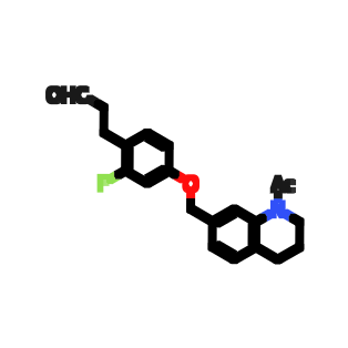 CC(=O)N1CCCc2ccc(COc3ccc(CCC=O)c(F)c3)cc21